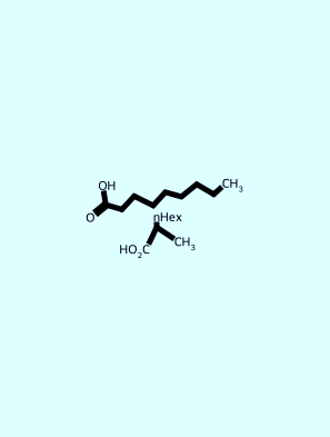 CCCCCCC(C)C(=O)O.CCCCCCCCC(=O)O